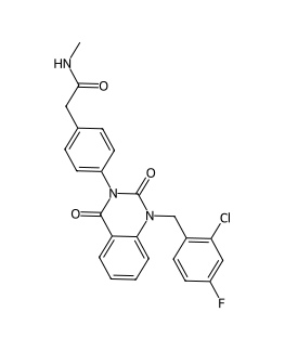 CNC(=O)Cc1ccc(-n2c(=O)c3ccccc3n(Cc3ccc(F)cc3Cl)c2=O)cc1